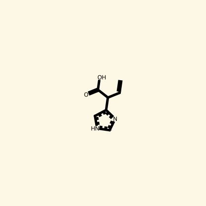 C=CC(C(=O)O)c1c[nH][c]n1